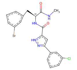 CNC(=O)[C@H](Cc1cccc(Br)c1)NC(=O)c1cc(-c2cccc(Cl)c2)n[nH]1